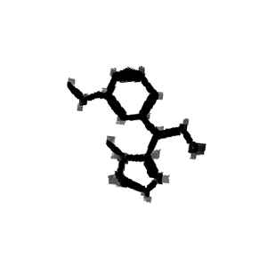 CSc1cccc(C(=NO)c2nnnn2C)c1